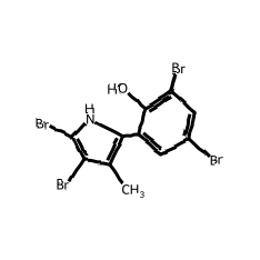 Cc1c(-c2cc(Br)cc(Br)c2O)[nH]c(Br)c1Br